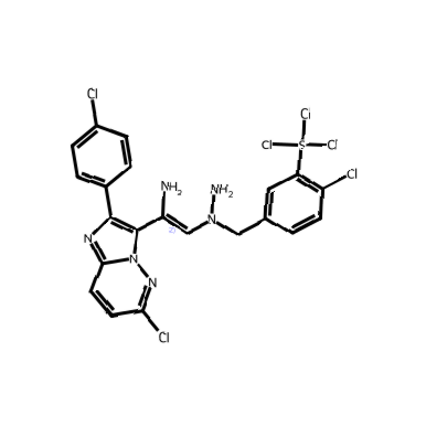 N/C(=C\N(N)Cc1ccc(Cl)c(S(Cl)(Cl)Cl)c1)c1c(-c2ccc(Cl)cc2)nc2ccc(Cl)nn12